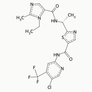 CCn1c(C(=O)N[C@H](C)c2ncc(C(=O)Nc3cc(C(F)(F)F)c(Cl)cn3)s2)cnc1C